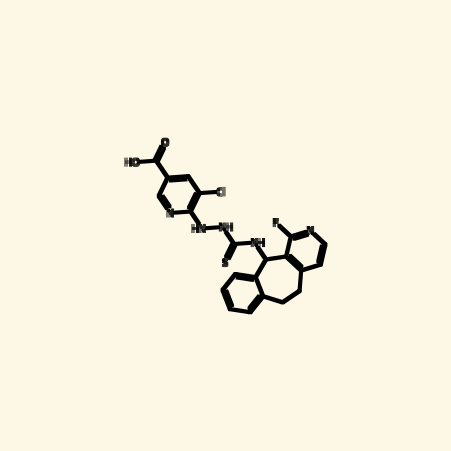 O=C(O)c1cnc(NNC(=S)NC2c3ccccc3CCc3ccnc(F)c32)c(Cl)c1